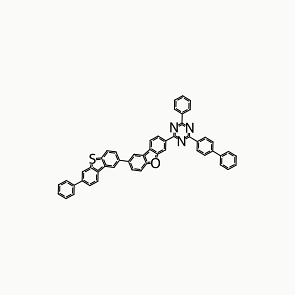 c1ccc(-c2ccc(-c3nc(-c4ccccc4)nc(-c4ccc5c(c4)oc4ccc(-c6ccc7sc8cc(-c9ccccc9)ccc8c7c6)cc45)n3)cc2)cc1